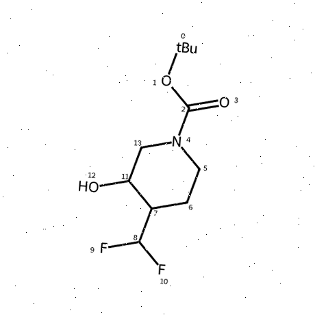 CC(C)(C)OC(=O)N1CCC(C(F)F)C(O)C1